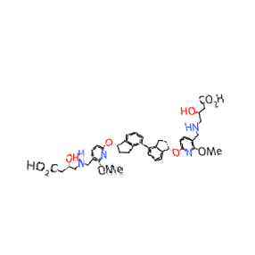 COc1nc(O[C@H]2CCc3c(-c4cccc5c4CC[C@@H]5Oc4ccc(CNC[C@@H](O)CC(=O)O)c(OC)n4)cccc32)ccc1CNC[C@@H](O)CC(=O)O